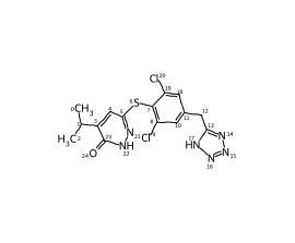 CC(C)c1cc(Sc2c(Cl)cc(Cc3nnn[nH]3)cc2Cl)n[nH]c1=O